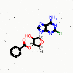 CC[C@H]1O[C@@H](n2cnc3c(N)nc(Cl)nc32)C(O)[C@H]1OC(=O)c1ccccc1